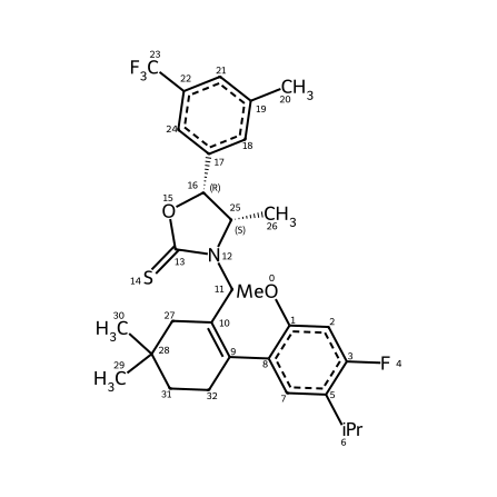 COc1cc(F)c(C(C)C)cc1C1=C(CN2C(=S)O[C@H](c3cc(C)cc(C(F)(F)F)c3)[C@@H]2C)CC(C)(C)CC1